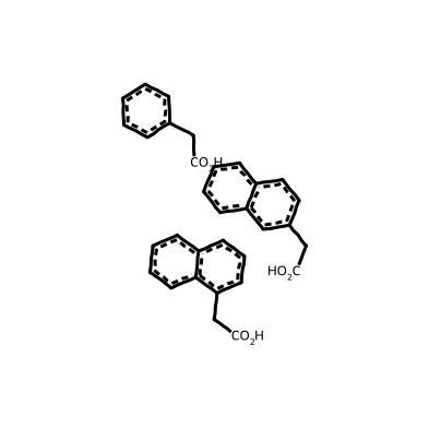 O=C(O)Cc1ccc2ccccc2c1.O=C(O)Cc1cccc2ccccc12.O=C(O)Cc1ccccc1